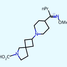 CCC/C(=N/OC)C1CCN(C2CC3(CCN(C(=O)O)C3)C2)CC1